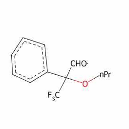 CCCOC([C]=O)(c1ccccc1)C(F)(F)F